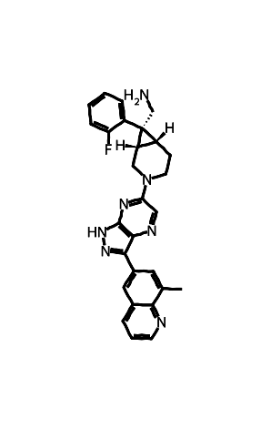 Cc1cc(-c2n[nH]c3nc(N4CC[C@@H]5[C@H](C4)[C@@]5(CN)c4ccccc4F)cnc23)cc2cccnc12